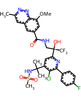 COc1cc(C(=O)NC[C@](O)(c2cc(C(C)(C)NS(C)(=O)=O)c(Cl)c(-c3ccc(F)cc3)n2)C(F)(F)F)cc2cc(C)nnc12